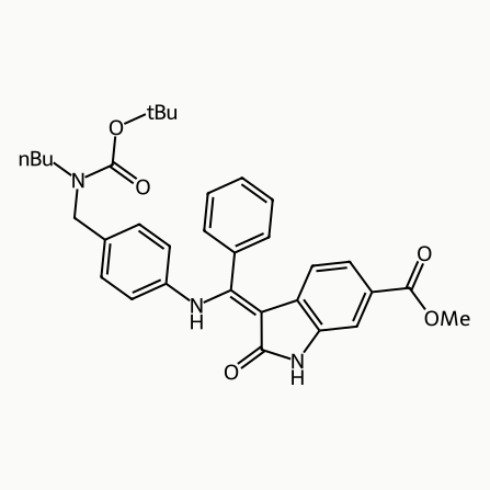 CCCCN(Cc1ccc(N/C(=C2\C(=O)Nc3cc(C(=O)OC)ccc32)c2ccccc2)cc1)C(=O)OC(C)(C)C